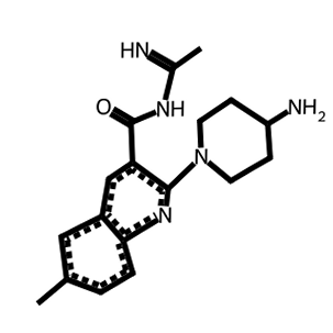 CC(=N)NC(=O)c1cc2cc(C)ccc2nc1N1CCC(N)CC1